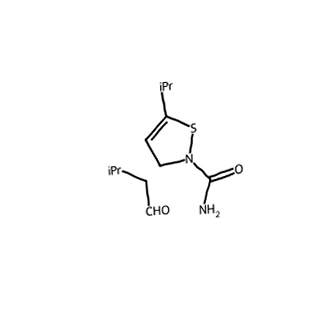 CC(C)C1=CCN(C(N)=O)S1.CC(C)CC=O